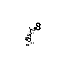 C[C@H](NC(=O)C[C@@H](CC(=O)NC(C)(C)C)NSI)C(=O)NCc1cccc2ccccc12